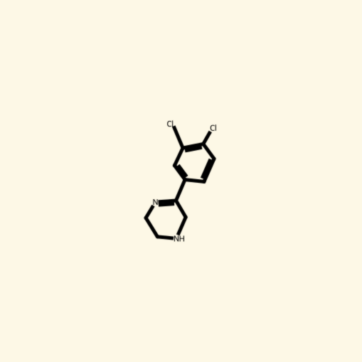 Clc1ccc(C2=NCCNC2)cc1Cl